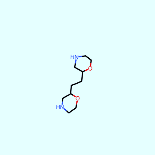 C1COC(CCC2CNCCO2)CN1